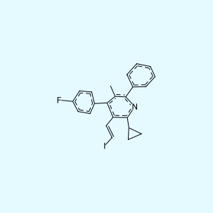 Cc1c(-c2ccccc2)nc(C2CC2)c(C=CI)c1-c1ccc(F)cc1